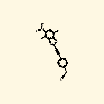 Cc1c([N+](=O)[O-])cc(C)c2sc(C#Cc3ccc(SC#N)cc3)nc12